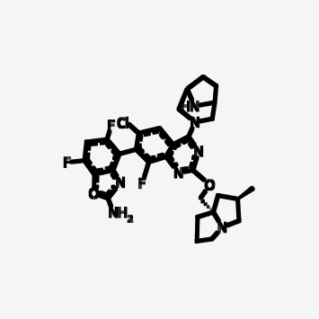 C[C@H]1CN2CCC[C@@]2(COc2nc(N3CC4CCC(C3)N4)c3cc(Cl)c(-c4c(F)cc(F)c5oc(N)nc45)c(F)c3n2)C1